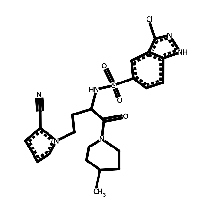 CC1CCN(C(=O)C(CCn2cccc2C#N)NS(=O)(=O)c2ccc3[nH]nc(Cl)c3c2)CC1